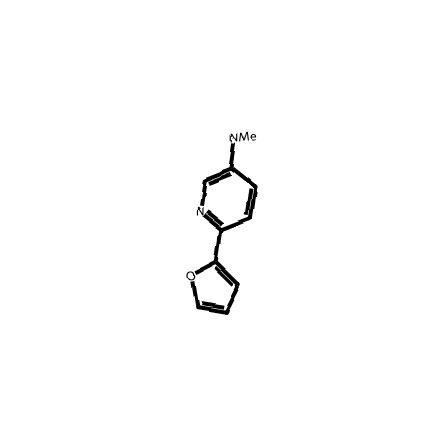 CNc1ccc(-c2ccco2)nc1